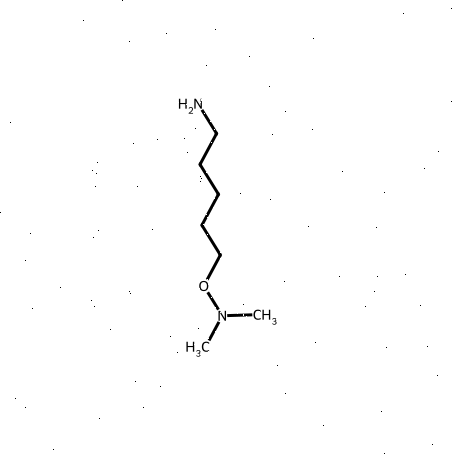 CN(C)OCCCCCN